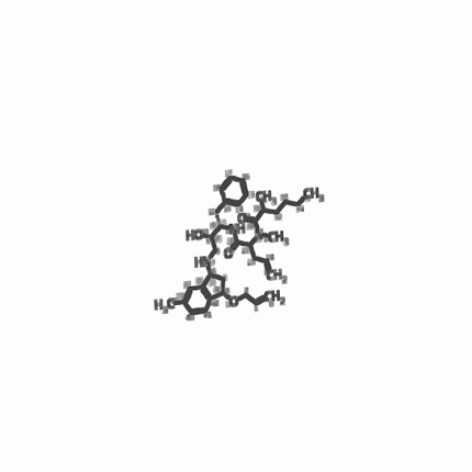 C=CCO[C@@H]1C[C@H](NC[C@@H](O)[C@H](Cc2ccccc2)NC(=O)C(CC=C)N(C)C(=O)C(C)CCCC)c2cc(C)ccc21